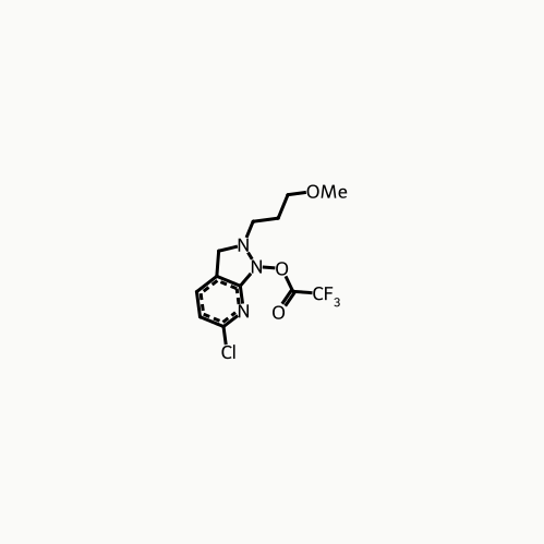 COCCCN1Cc2ccc(Cl)nc2N1OC(=O)C(F)(F)F